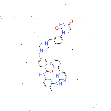 Cc1ccc(NC(=O)c2ccc(CN3CCN(Cc4cccc(N5CCC(=O)NC5=O)c4)CC3)cc2)cc1Nc1nccc(-c2cccnc2)n1